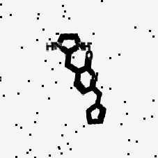 O=C1N=C(CC2C=CCC2)C=CC1CC1NC=CN1